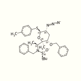 Cc1ccc(S[C@@H]2O[C@](C)([C@H](C)N(Cc3ccccc3)[S@@+]([O-])C(C)(C)C)[C@@H](OCc3ccccc3)C[C@H]2N=[N+]=[N-])cc1